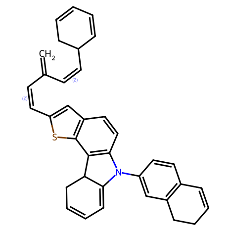 C=C(/C=C\c1cc2ccc3c(c2s1)C1CC=CC=C1N3c1ccc2c(c1)CCC=C2)/C=C\C1C=CC=CC1